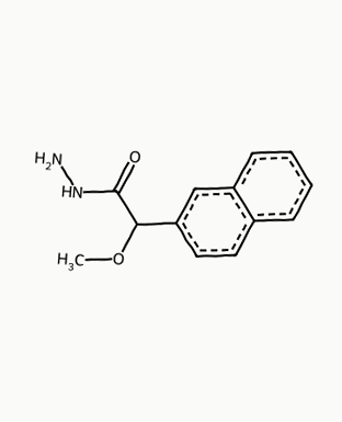 COC(C(=O)NN)c1ccc2ccccc2c1